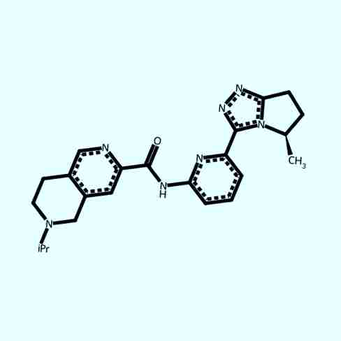 CC(C)N1CCc2cnc(C(=O)Nc3cccc(-c4nnc5n4[C@H](C)CC5)n3)cc2C1